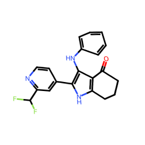 O=C1CCCc2[nH]c(-c3ccnc(C(F)F)c3)c(Nc3ccccc3)c21